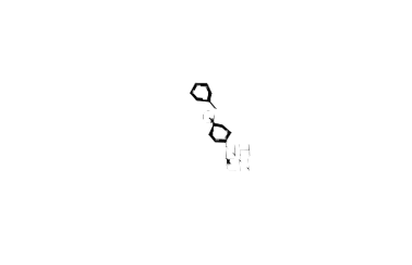 N#CCNc1ccc(OCc2ccccc2)cc1